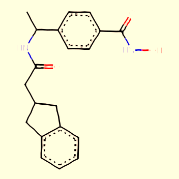 CC(NC(=O)CC1Cc2ccccc2C1)c1ccc(C(=O)NO)cc1